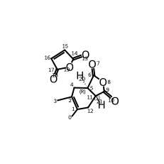 CC1=C(C)C[C@H]2C(=O)OC(=O)[C@H]2C1.O=C1C=CC(=O)O1